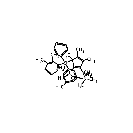 CC1=C(C)C(C)([Si](c2ccccc2)(c2cc(C)cc([Si](C)(C)C)c2)c2cccc(C)c2C)[C]([Ti]([CH3])([CH3])[CH3])=C1C